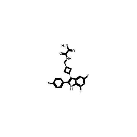 NC(=O)C(=O)NC[C@H]1C[C@H](c2c(-c3ccc(F)cc3)[nH]c3c(F)cc(F)cc32)C1